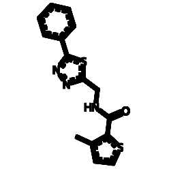 Cc1ccsc1C(=O)NCc1nnc(-c2ccccc2)s1